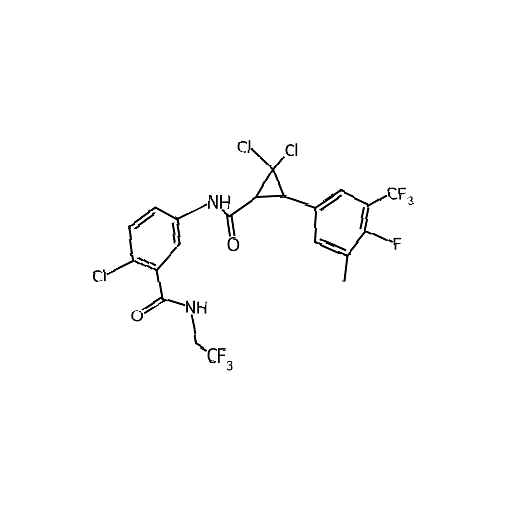 Cc1cc(C2C(C(=O)Nc3ccc(Cl)c(C(=O)NCC(F)(F)F)c3)C2(Cl)Cl)cc(C(F)(F)F)c1F